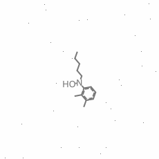 CCCCCN(O)c1cccc(C)c1C